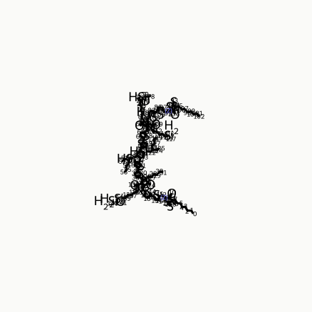 CCCCCCCCN1C(=O)/C(=C/c2ccc(-c3ccc(C4=C5C(=O)N(CCCCCC)C(c6ccc(-c7cc8c(s7)-c7cc9c(cc7[SiH]8CC(CC)CCCC)-c7sc(-c8ccc(C%10=C%11C(=O)N(CCCCC[SiH](C)O[SiH](C)C)C(c%12ccc(-c%13ccc(/C=C%14\SC(=S)N(CCCCCCCC)C%14=O)s%13)s%12)=C%11C(=O)N%10CCCCC[SiH2]C)s8)cc7[SiH]9CC(CC)CCCC)s6)=C5C(=O)N4CCCCC[SiH2]O[SiH2]C)s3)s2)SC1=S